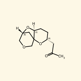 CC(=O)C[C@H]1CC[C@@H]2O[C@H]3COCC2(C3)O1